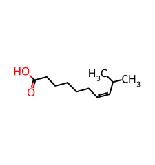 CC(C)/C=C\CCCCCC(=O)O